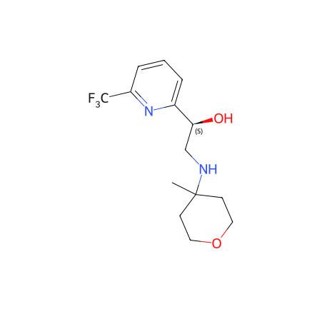 CC1(NC[C@H](O)c2cccc(C(F)(F)F)n2)CCOCC1